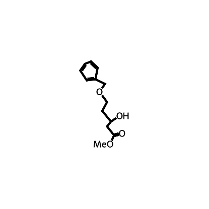 COC(=O)CC(O)CCOCc1ccccc1